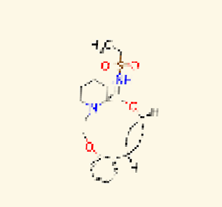 CCS(=O)(=O)N[C@H]1CCCN2CCOc3ccccc3[C@H]3CC[C@H](CC3)OC[C@@H]12